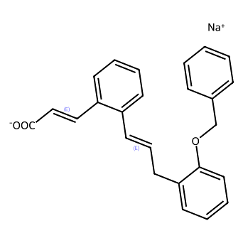 O=C([O-])/C=C/c1ccccc1/C=C/Cc1ccccc1OCc1ccccc1.[Na+]